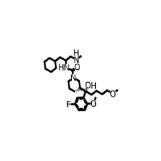 CNCC(CC1CCCCC1)NC(=O)N1CCC[C@@H]([C@@](O)(CCCCOC)c2cc(F)ccc2OC)C1